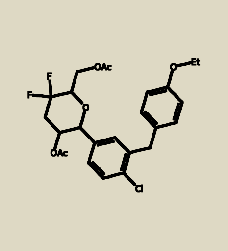 CCOc1ccc(Cc2cc(C3OC(COC(C)=O)C(F)(F)CC3OC(C)=O)ccc2Cl)cc1